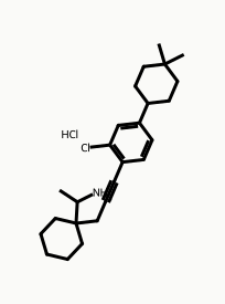 CC(N)C1(CC#Cc2ccc(C3CCC(C)(C)CC3)cc2Cl)CCCCC1.Cl